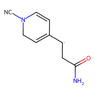 N#CN1C=CC([CH]CC(N)=O)=CC1